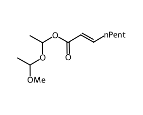 CCCCC/C=C/C(=O)OC(C)OC(C)OC